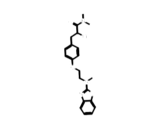 CN(C)C(=O)C(Cl)Cc1ccc(OCCN(C)c2nc3ccccc3o2)cc1